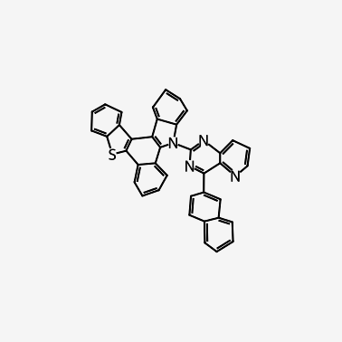 c1ccc2cc(-c3nc(-n4c5ccccc5c5c6c7ccccc7sc6c6ccccc6c54)nc4cccnc34)ccc2c1